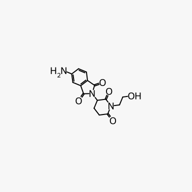 Nc1ccc2c(c1)C(=O)N(C1CCC(=O)N(CCO)C1=O)C2=O